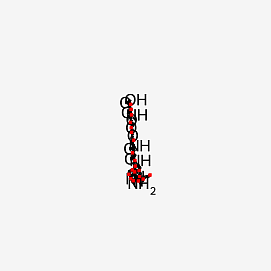 CCCCc1nc2c(N)nc3ccccc3c2n1Cc1ccc(CNC(=O)CCCC(=O)NCCCOCCOCCOCNC(=O)CCCC(=O)O)cc1